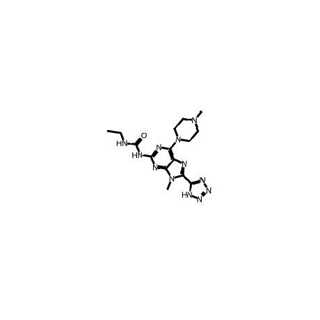 CCNC(=O)Nc1nc(N2CCN(C)CC2)c2nc(-c3nnn[nH]3)n(C)c2n1